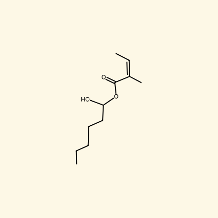 CC=C(C)C(=O)OC(O)CCCCC